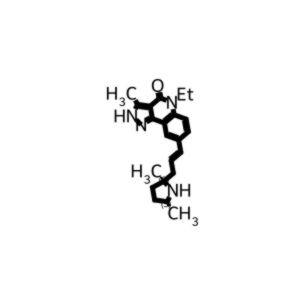 CCn1c(=O)c2c(C)[nH]nc2c2cc(C=CC[C@]3(C)CC[C@H](C)N3)ccc21